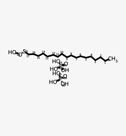 CCCCCCCCCCCCCCCCCCSOO.O=P(O)(O)O.O=P(O)(O)O